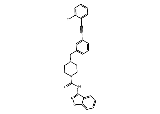 O=C(Nc1noc2ccccc12)N1CCN(Cc2cccc(C#Cc3ccccc3Cl)c2)CC1